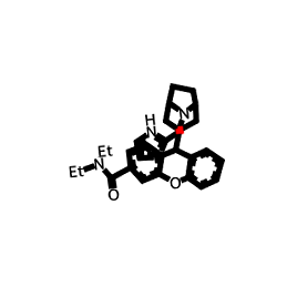 CCN(CC)C(=O)c1ccc2c(c1)Oc1ccccc1C2C1CC2CCC(C1)N2Cc1ncc[nH]1